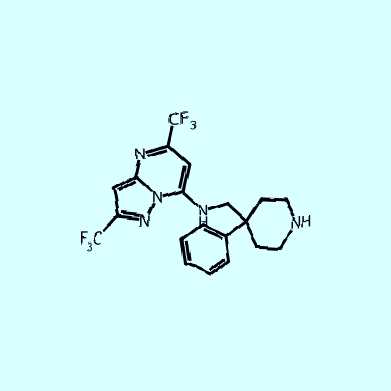 FC(F)(F)c1cc(NCC2(c3ccccc3)CCNCC2)n2nc(C(F)(F)F)cc2n1